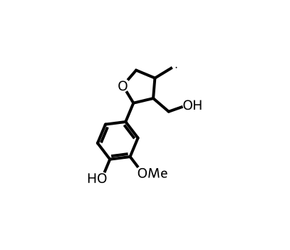 [CH2]C1COC(c2ccc(O)c(OC)c2)C1CO